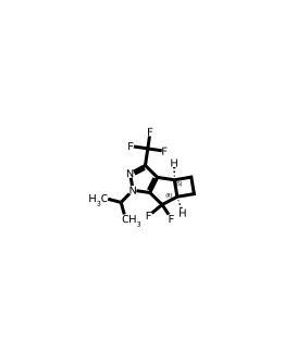 CC(C)n1nc(C(F)(F)F)c2c1C(F)(F)[C@@H]1CC[C@H]21